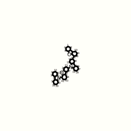 c1ccc2c(c1)oc1c(-c3ccc4c(c3)c3ccccc3n4-c3ccc4oc5c(-n6c7ccccc7c7ccccc76)cccc5c4c3)cccc12